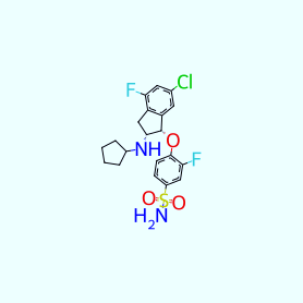 NS(=O)(=O)c1ccc(O[C@H]2c3cc(Cl)cc(F)c3C[C@H]2NC2CCCC2)c(F)c1